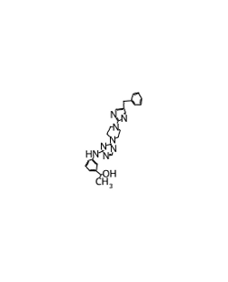 CC(O)c1cccc(Nc2ncnc(N3CCN(c4ncc(Cc5ccccc5)cn4)CC3)n2)c1